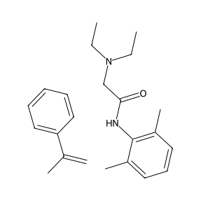 C=C(C)c1ccccc1.CCN(CC)CC(=O)Nc1c(C)cccc1C